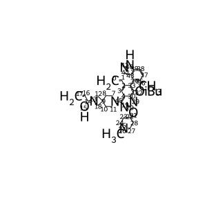 C=Cc1cc2c(N3CCC4(CC3)CN(C(O)C=C)C4)nc(OC3CCN(C)CC3)nc2c(OCC(C)C)c1-c1c(C)ccc2[nH]ncc12